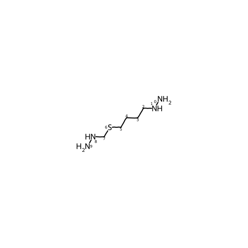 NNCCCCSCNN